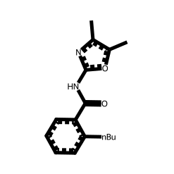 CCCCc1ccccc1C(=O)Nc1nc(C)c(C)o1